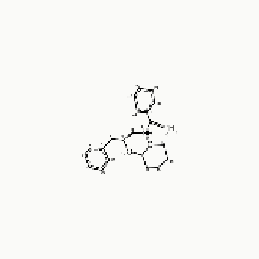 C=C(NC[C@H](Cc1ccccc1)OC1CCCCO1)c1ccccc1